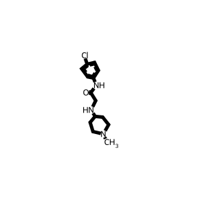 CN1CCC(NCC(=O)Nc2ccc(Cl)cc2)CC1